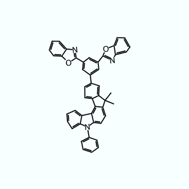 CC1(C)c2cc(-c3cc(-c4nc5ccccc5o4)cc(-c4nc5ccccc5o4)c3)ccc2-c2c1ccc1c2c2ccccc2n1-c1ccccc1